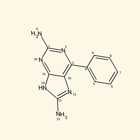 Nc1nc(-c2ccccc2)c2nc(N)[nH]c2n1